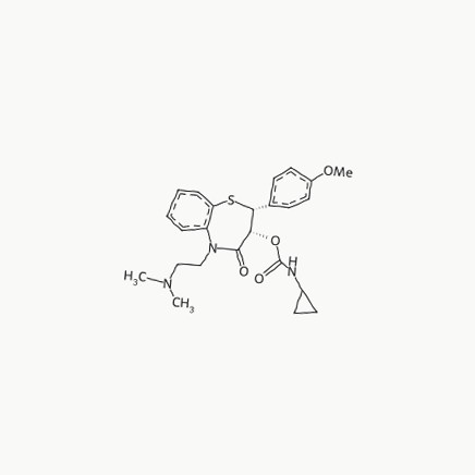 COc1ccc([C@H]2Sc3ccccc3N(CCN(C)C)C(=O)[C@H]2OC(=O)NC2CC2)cc1